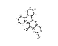 O=c1c2cc(Br)ccc2cc(-c2ccccc2)n1-c1ccccc1